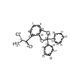 CC(Cl)C(=O)c1cccc2c1OC(c1ccccc1)(c1ccccc1)O2